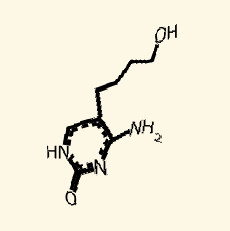 Nc1nc(=O)[nH]cc1CCCCO